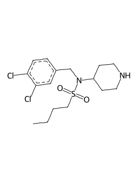 CCCCS(=O)(=O)N(Cc1ccc(Cl)c(Cl)c1)C1CCNCC1